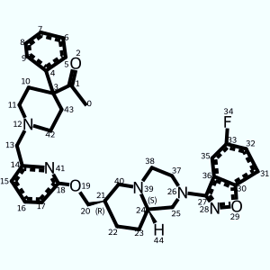 CC(=O)C1(c2ccccc2)CCN(Cc2cccc(OC[C@@H]3CC[C@H]4CN(c5noc6ccc(F)cc56)CCN4C3)n2)CC1